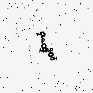 O=C(NC[C@]1(O)CC[C@H](COCc2ccccc2F)CC1)c1ccc(O)cc1